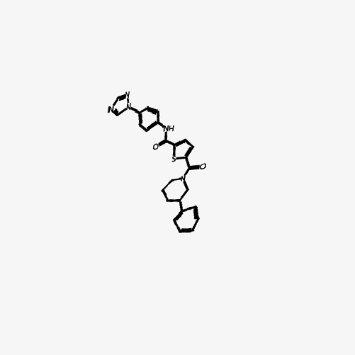 O=C(Nc1ccc(-n2cncn2)cc1)c1ccc(C(=O)N2CCCC(c3ccccc3)C2)s1